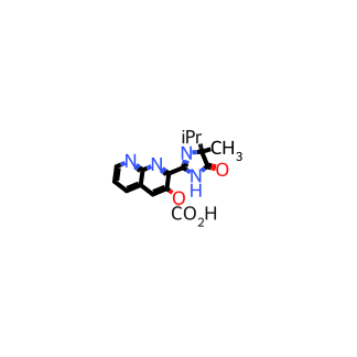 CC(C)C1(C)N=C(c2nc3ncccc3cc2OC(=O)O)NC1=O